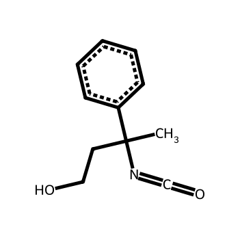 CC(CCO)(N=C=O)c1ccccc1